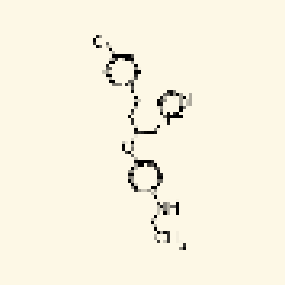 CCNc1ccc(OC(CCc2ccc(Cl)cc2)Cn2ccnc2)cc1